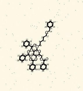 O=C(OCC1OC(OCCCCCOCc2ccccc2)C(OC(=O)c2ccccc2)C(OC(=O)c2ccccc2)C1OC(=O)c1ccccc1)c1ccccc1